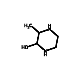 CC1NCCNC1O